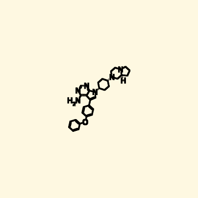 Nc1ncnc2c1c(-c1ccc(Oc3ccccc3)cc1)cn2[C@H]1CC[C@@H](N2CCN3CCC[C@H]3C2)CC1